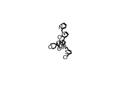 CC1(C(=O)n2nc(-c3cccn(Cc4ccccn4)c3=O)cc2NCc2ccc(Cl)s2)CCOCC1